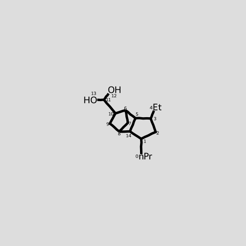 CCCC1CC(CC)C2C3CC(CC3C(O)O)C12